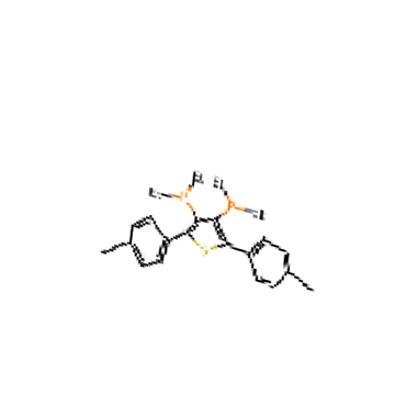 CCP(CC)c1c(-c2ccc(C)cc2)sc(-c2ccc(C)cc2)c1P(CC)CC